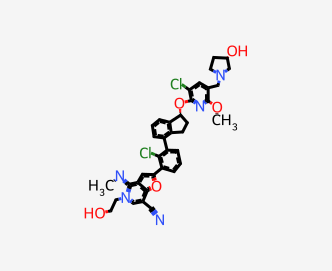 C/N=c1/c2cc(-c3cccc(-c4cccc5c4CC[C@@H]5Oc4nc(OC)c(CN5CC[C@@H](O)C5)cc4Cl)c3Cl)oc2c(C#N)cn1CCO